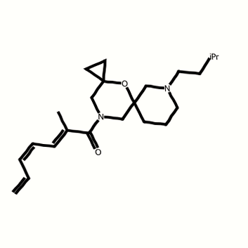 C=C/C=C\C=C(/C)C(=O)N1CC2(CC2)OC2(CCCN(CCC(C)C)C2)C1